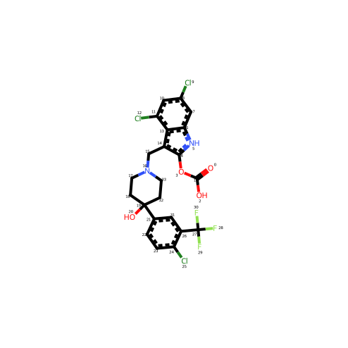 O=C(O)Oc1[nH]c2cc(Cl)cc(Cl)c2c1CN1CCC(O)(c2ccc(Cl)c(C(F)(F)F)c2)CC1